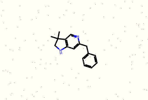 CC1(C)CNc2cc(Cc3ccccc3)ncc21